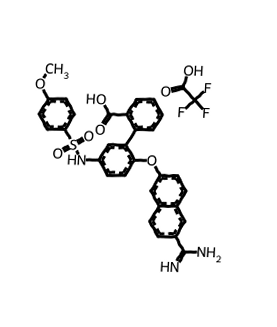 COc1ccc(S(=O)(=O)Nc2ccc(Oc3ccc4cc(C(=N)N)ccc4c3)c(-c3ccccc3C(=O)O)c2)cc1.O=C(O)C(F)(F)F